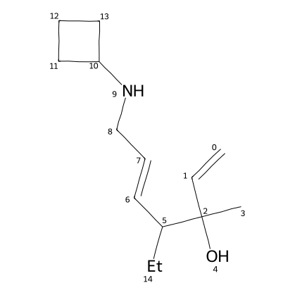 C=CC(C)(O)C(/C=C/CNC1CCC1)CC